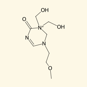 COCCN1C=NC(=O)[N+](CO)(CO)C1